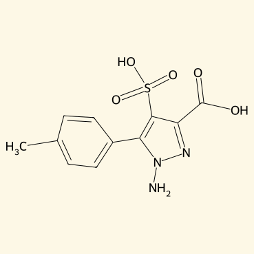 Cc1ccc(-c2c(S(=O)(=O)O)c(C(=O)O)nn2N)cc1